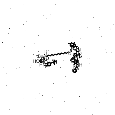 Cc1ncsc1-c1ccc([C@H](C)NC(=O)[C@@H]2C[C@@H](O)CN2C(=O)[C@@H](NC(=O)CCCCCCCCCCCCCN(C)CCOC23CC4(C)CC(C)(CC(Cn5ncc(-c6ccc(N7CCCc8c7nnc(Nc7nc9ccccc9s7)c8C)nc6C(=O)N(C)C)c5C)(C4)C2)C3)C(C)(C)C)cc1